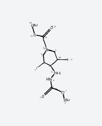 CC(C)(C)OC(=O)NNC1C(F)CN(C(=O)OC(C)(C)C)CC1F